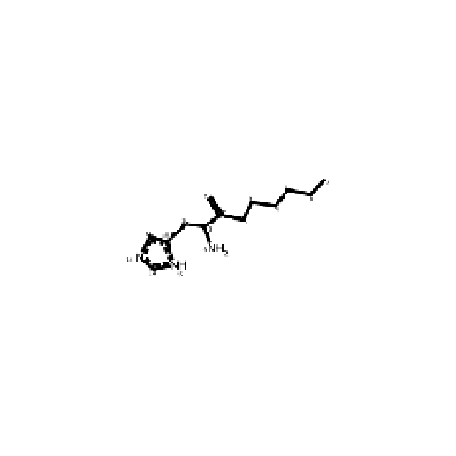 C=C(CCCCCC)C(N)Cc1cnc[nH]1